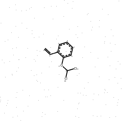 C=Cc1ccccc1OC(Cl)Cl